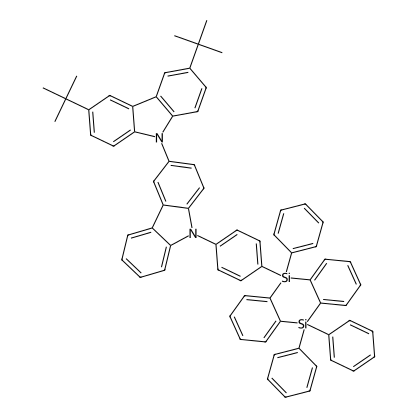 CC(C)(C)c1ccc2c(c1)c1cc(C(C)(C)C)ccc1n2-c1ccc2c(c1)c1ccccc1n2-c1ccc([Si]2(c3ccccc3)c3ccccc3[Si](c3ccccc3)(c3ccccc3)c3ccccc32)cc1